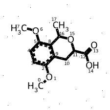 COc1ccc(OC)c2c1CC(C(=O)O)OC2C